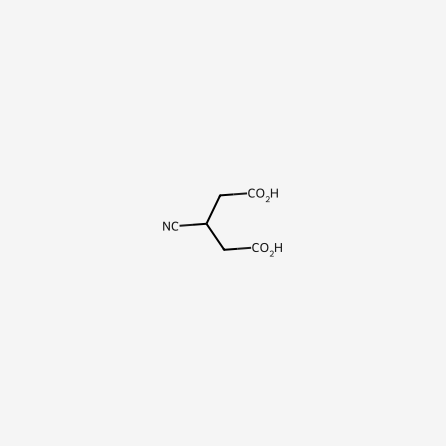 N#CC(CC(=O)O)CC(=O)O